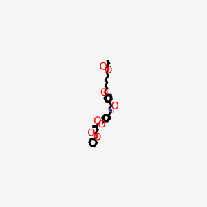 C=CC(=O)OCCCCCCOc1ccc(C(=O)/C=C/c2ccc(OC(=O)C(=C)CC(=O)OC3CCCCC3)cc2)cc1